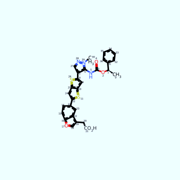 C[C@@H](OC(=O)Nc1c(-c2cc3sc(-c4ccc5occ(CC(=O)O)c5c4)cc3s2)cnn1C)c1ccccc1